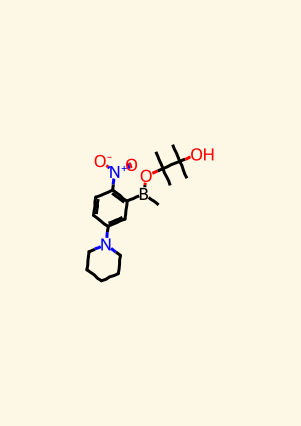 CB(OC(C)(C)C(C)(C)O)c1cc(N2CCCCC2)ccc1[N+](=O)[O-]